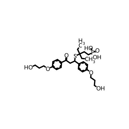 CCC(CC)(CCP(=O)(O)O)SC(CC(=O)c1ccc(OCCCO)cc1)c1ccc(OCCCO)cc1